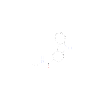 CCCNC(=O)c1ccc2[nH]c3ccccc3c2c1